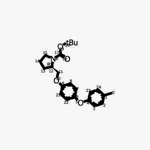 Cc1ccc(Oc2ccc(OC[C@H]3CCCN3C(=O)OC(C)(C)C)cc2)cc1